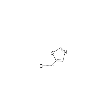 Cl[CH]c1cncs1